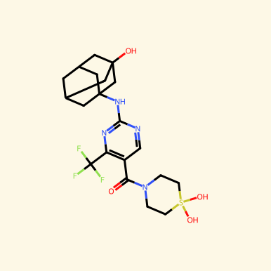 O=C(c1cnc(NC23CC4CC(CC(O)(C4)C2)C3)nc1C(F)(F)F)N1CCS(O)(O)CC1